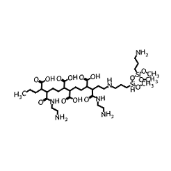 CCCC(C(=O)O)C(CCC(C(=O)O)C(CCC(C(=O)O)C(CCNCCC[SiH](OC)O[Si](CCCN)(OC)OC)C(=O)NCCN)C(=O)O)C(=O)NCCN